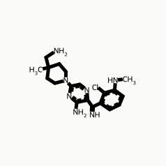 CNc1cccc(C(=N)c2ncc(N3CCC(C)(CN)CC3)nc2N)c1Cl